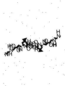 CNCCNC[C@H](O)c1cc([C@@H]2CC3(CC3)[C@@H]3CN2C(=O)N3OS(=O)(=O)ON2C(=O)N3C[C@H]2C2(CC2)C[C@H]3c2cc([C@@H](O)CNCCNC)on2)no1